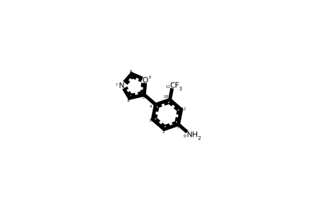 Nc1ccc(-c2cnco2)c(C(F)(F)F)c1